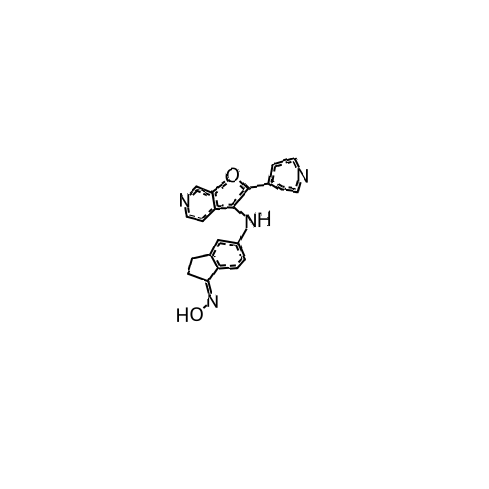 ON=C1CCc2cc(Nc3c(-c4ccncc4)oc4cnccc34)ccc21